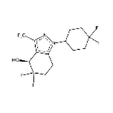 O[C@H]1c2c(C(F)(F)F)nn(C3CCC(F)(F)CC3)c2CCC1(F)F